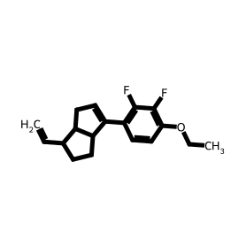 C=CC1CCC2C(c3ccc(OCC)c(F)c3F)=CCC12